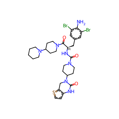 Nc1c(Br)cc(C[C@@H](NC(=O)N2CCC(N3Cc4sccc4NC3=O)CC2)C(=O)N2CCC(N3CCCCC3)CC2)cc1Br